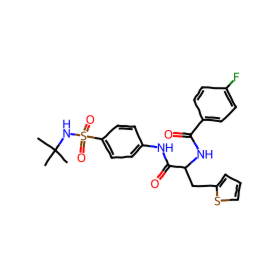 CC(C)(C)NS(=O)(=O)c1ccc(NC(=O)C(Cc2cccs2)NC(=O)c2ccc(F)cc2)cc1